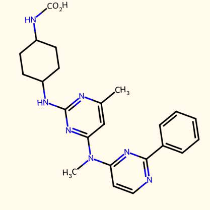 Cc1cc(N(C)c2ccnc(-c3ccccc3)n2)nc(NC2CCC(NC(=O)O)CC2)n1